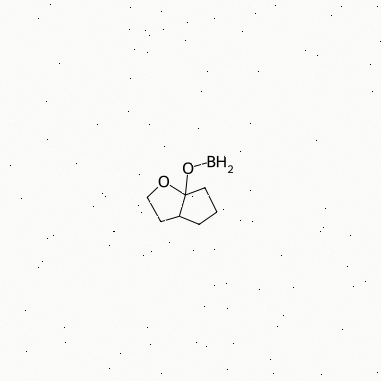 BOC12CCCC1CCO2